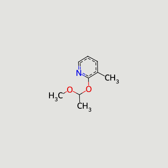 COC(C)Oc1ncccc1C